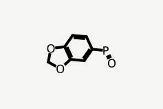 O=Pc1ccc2c(c1)OCO2